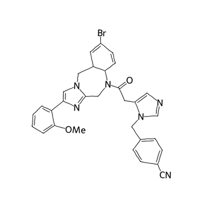 COc1ccccc1-c1cn2c(n1)CN(C(=O)Cc1cncn1Cc1ccc(C#N)cc1)C1C=CC(Br)=CC1C2